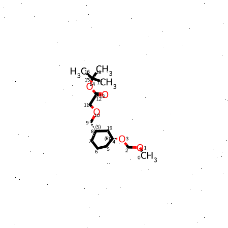 COCO[C@@H]1CCC[C@H](COCC(=O)OC(C)(C)C)C1